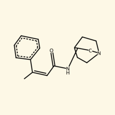 C/C(=C/C(=O)NC1CN2CCC1CC2)c1ccccc1